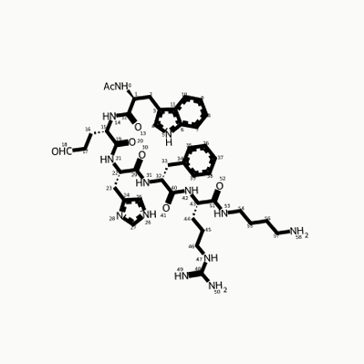 CC(=O)N[C@@H](Cc1c[nH]c2ccccc12)C(=O)N[C@@H](CCC=O)C(=O)N[C@@H](Cc1c[nH]cn1)C(=O)N[C@H](Cc1ccccc1)C(=O)N[C@@H](CCCNC(=N)N)C(=O)NCCCCN